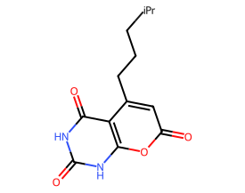 CC(C)CCCc1cc(=O)oc2[nH]c(=O)[nH]c(=O)c12